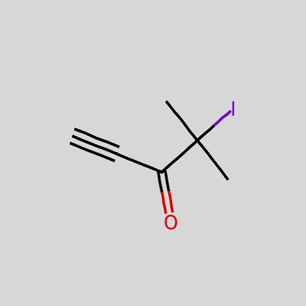 C#CC(=O)C(C)(C)I